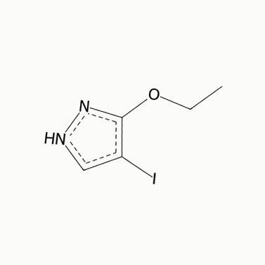 CCOc1n[nH]cc1I